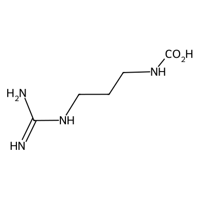 N=C(N)NCCCNC(=O)O